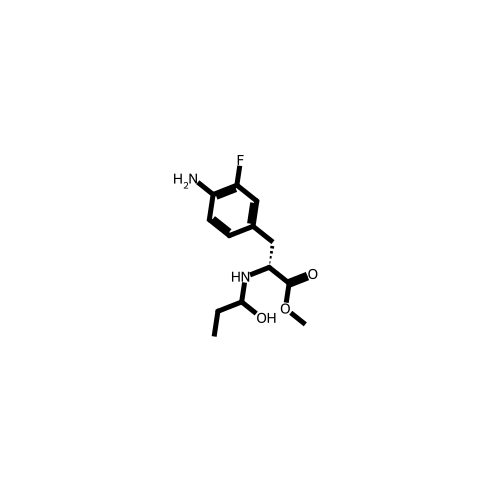 CCC(O)N[C@H](Cc1ccc(N)c(F)c1)C(=O)OC